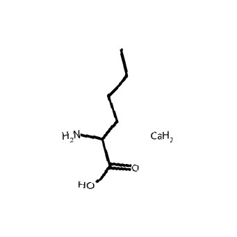 CCCCC(N)C(=O)O.[CaH2]